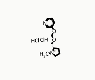 CN1CCC[C@H]1COCOc1cccnc1.Cl.Cl